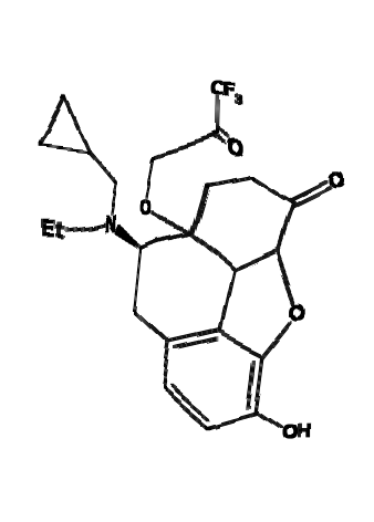 CCN(CC1CC1)[C@@H]1Cc2ccc(O)c3c2C2C(O3)C(=O)CCC21OCC(=O)C(F)(F)F